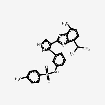 Cc1ccc(S(=O)(=O)Nc2cccc(-c3n[nH]cc3-c3nc4c(C)ccc(C(C)C)c4o3)c2)cc1